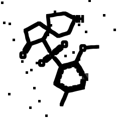 COc1ncc(C)cc1S(=O)(=O)C1C(=O)CCC12CCNCC2